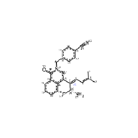 CC(C)=C/C=C(/c1nn(Cc2ccc(C#N)cc2)c(=O)c2ccccc12)[C@H](N)F